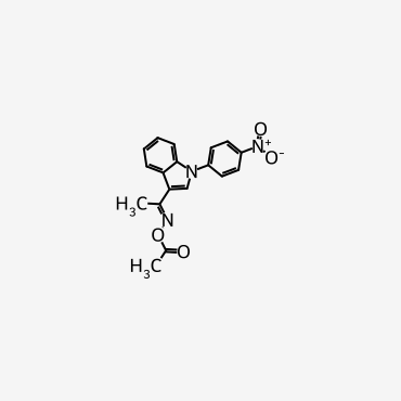 CC(=O)O/N=C(\C)c1cn(-c2ccc([N+](=O)[O-])cc2)c2ccccc12